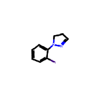 Ic1ccccc1N1CCC=N1